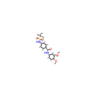 COc1ccc(NC(=O)c2ccc(NS(=O)(=O)C(C)(C)C)cc2)cc1OC